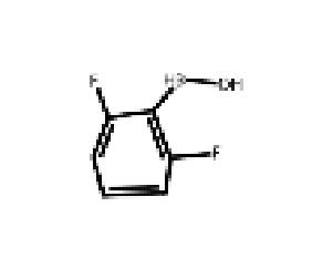 OBc1c(F)cccc1F